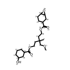 COCC(C)(CCOC(=O)C1CCCC(O)C1)CCOC(=O)C1CCC2OC2C1